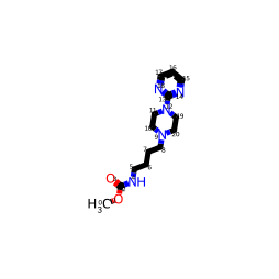 COC(=O)NCCCCN1CCN(c2ncccn2)CC1